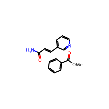 COC(=O)c1ccccc1.NC(=O)C=Cc1cccnc1